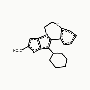 O=C(O)c1cc2n3c(c(C4CCCCC4)n2n1)-c1ccccc1OCC3